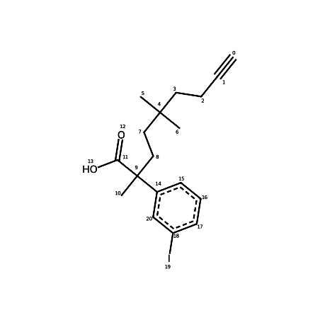 C#CCCC(C)(C)CCC(C)(C(=O)O)c1cccc(I)c1